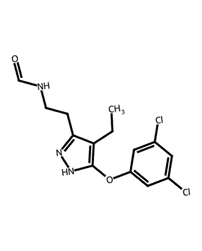 CCc1c(CCNC=O)n[nH]c1Oc1cc(Cl)cc(Cl)c1